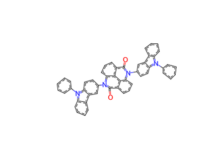 O=c1c2cccc3c2c2c(cccc2n1-c1ccc2c(c1)c1ccccc1n2-c1ccccc1)c(=O)n3-c1ccc2c(c1)c1ccccc1n2-c1ccccc1